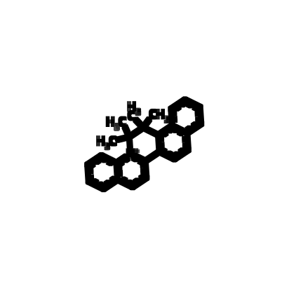 CC1(C)c2c(ccc3ccccc23)-c2ccc3ccccc3[n+]2C1(C)C